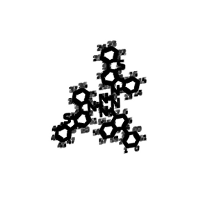 c1ccc(-c2ccc(-c3nc(-n4c5ccccc5c5c6sc7ccccc7c6ccc54)nc(-n4c5ccccc5c5c6sc7ccccc7c6ccc54)n3)c3ccccc23)cc1